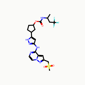 CC(CC(F)(F)F)NC(=O)OC1CCC(c2cc(Nc3nccn4nc(CS(C)(=O)=O)cc34)n[nH]2)C1